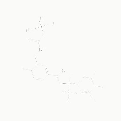 CC(C)(C)OC(=O)NCc1cc(C2=NOC(c3cc(Cl)c(Cl)c(Cl)c3)(C(F)(F)F)C2)ccc1Cl